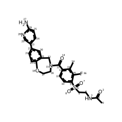 CC(=O)NCCS(=O)(=O)c1ccc(C(=O)N2CCOc3ccc(-c4ccc(N)nc4)cc3C2)c(C)c1F